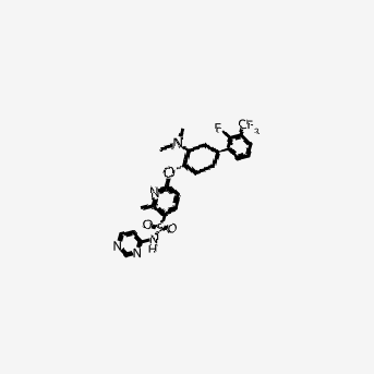 Cc1nc(O[C@H]2CC[C@H](c3cccc(C(F)(F)F)c3F)C[C@@H]2N(C)C)ccc1S(=O)(=O)Nc1ccncn1